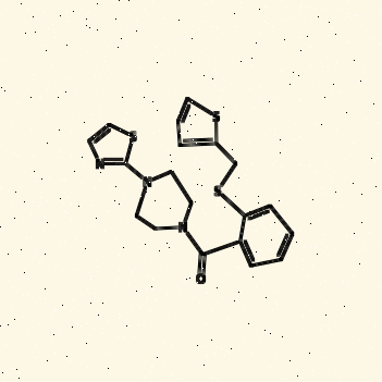 O=C(c1ccccc1SCc1cccs1)N1CCN(c2nccs2)CC1